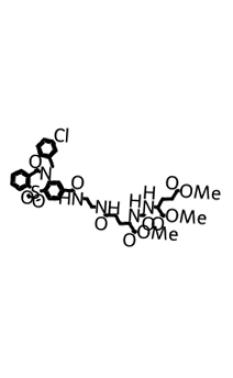 COC(=O)CCC(NC(=O)NC(CCC(=O)NCCNC(=O)c1ccc2c(c1)N(Cc1cccc(Cl)c1)C(=O)c1ccccc1S2(=O)=O)C(=O)OC)C(=O)OC